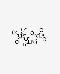 [Li+].[Li+].[O-][Cl+3]([O-])([O-])[O-].[O-][Cl+3]([O-])([O-])[O-]